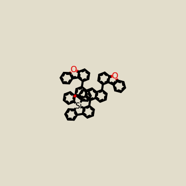 c1ccc([Si]2(c3ccccc3)c3ccccc3-c3cccc(-c4c5cccc(-c6cccc7oc8ccccc8c67)c5cc5c(-c6cccc7oc8ccccc8c67)cccc45)c32)cc1